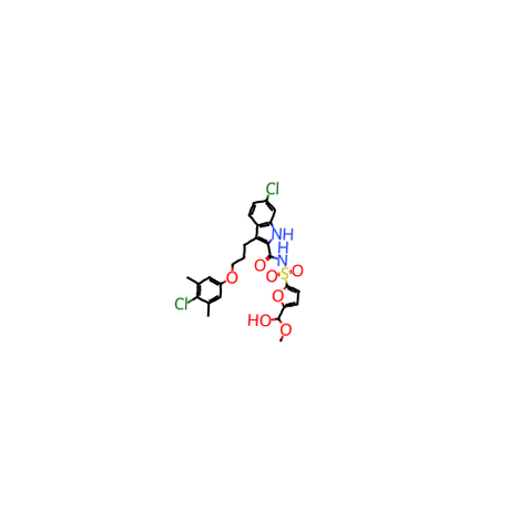 COC(O)c1ccc(S(=O)(=O)NC(=O)c2[nH]c3cc(Cl)ccc3c2CCCOc2cc(C)c(Cl)c(C)c2)o1